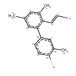 Cc1cc(C)c(C=CI)c(-c2ccc(F)c(C)c2)c1